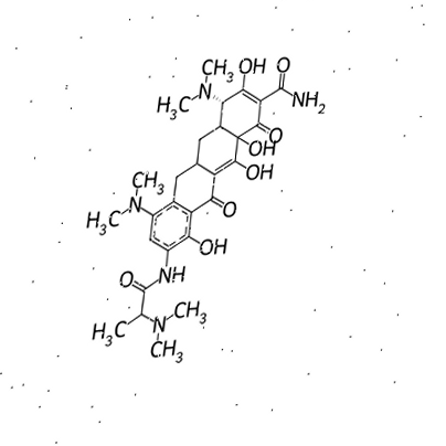 CC(C(=O)Nc1cc(N(C)C)c2c(c1O)C(=O)C1=C(O)C3(O)C(=O)C(C(N)=O)=C(O)[C@@H](N(C)C)C3CC1C2)N(C)C